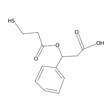 O=C(O)CC(OC(=O)CCS)c1ccccc1